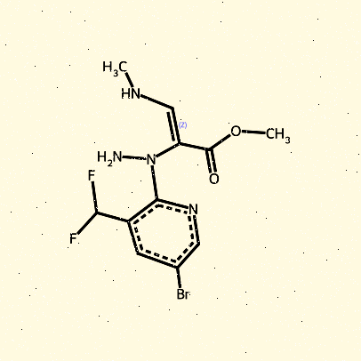 CN/C=C(/C(=O)OC)N(N)c1ncc(Br)cc1C(F)F